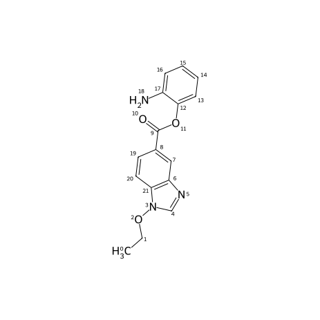 CCOn1cnc2cc(C(=O)Oc3ccccc3N)ccc21